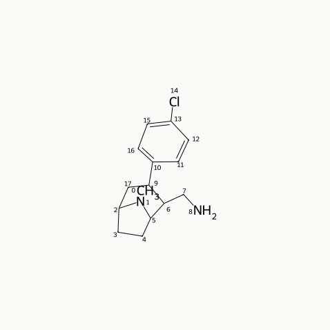 CN1C2CCC1C(CN)C(c1ccc(Cl)cc1)C2